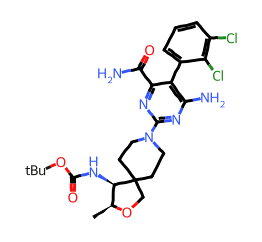 C[C@@H]1OCC2(CCN(c3nc(N)c(-c4cccc(Cl)c4Cl)c(C(N)=O)n3)CC2)[C@@H]1NC(=O)OC(C)(C)C